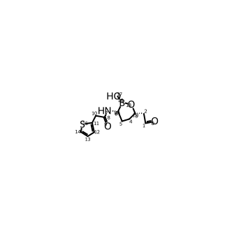 O=CC[C@@H]1CC[C@H](NC(=O)Cc2cccs2)B(O)O1